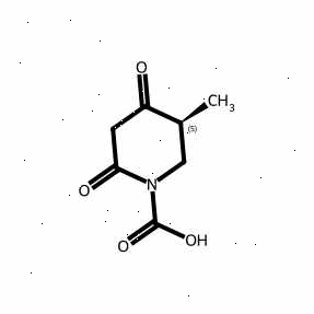 C[C@H]1CN(C(=O)O)C(=O)CC1=O